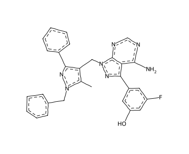 Cc1c(Cn2nc(-c3cc(O)cc(F)c3)c3c(N)ncnc32)c(-c2ccccc2)nn1Cc1ccccc1